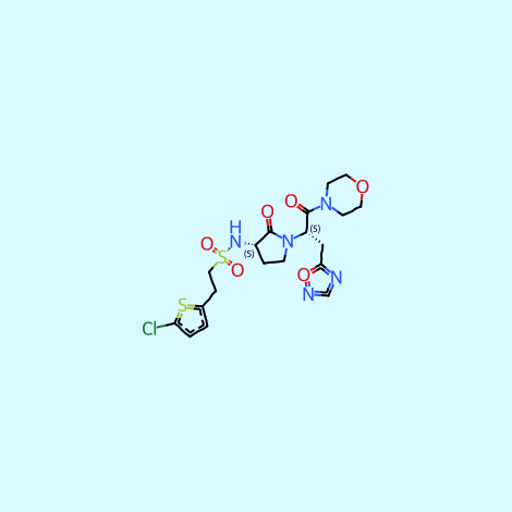 O=C([C@H](Cc1ncno1)N1CC[C@H](NS(=O)(=O)CCc2ccc(Cl)s2)C1=O)N1CCOCC1